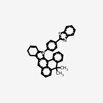 CC1(C)c2ccccc2-c2c3c1cccc3cc1c3c(n(-c4ccc(-c5nc6ccccc6s5)cc4)c21)C=CCC3